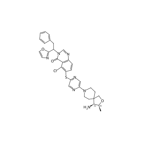 C[C@@H]1OCC2(CCN(c3cnc(Sc4ccc5ncn(C(Cc6ccccc6)c6ncco6)c(=O)c5c4Cl)cn3)CC2)[C@@H]1N